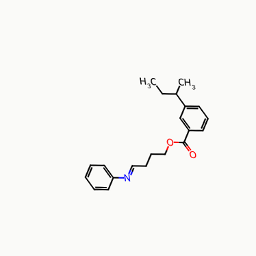 CCC(C)c1cccc(C(=O)OCCCC=Nc2ccccc2)c1